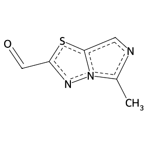 Cc1ncc2sc(C=O)nn12